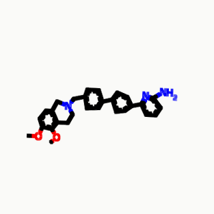 COc1ccc2c(c1OC)CCN(Cc1ccc(-c3ccc(-c4cccc(N)n4)cc3)cc1)C2